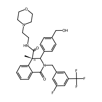 C[C@]1(C(=O)NCCN2CCOCC2)c2ccccc2C(=O)N(Cc2cc(F)cc(C(F)(F)F)c2)C1c1ccc(CO)cc1